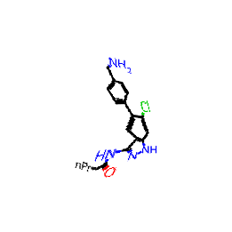 CCCC(=O)Nc1n[nH]c2cc(Cl)c(-c3ccc(CN)cc3)cc12